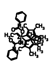 C[CH]=[Zr]([O]C(=O)c1ccccc1)([O]C(=O)c1ccccc1)([C]1=C(C)C(C)=C(C)C1(C)C)[C]1=C(C)C(C)=C(C)C1(C)C